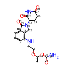 CC(OCCNc1cccc2c1CN(C1CCC(=O)NC1=O)C2=O)OC(N)=O